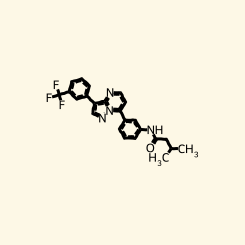 CC(C)CC(=O)Nc1cccc(-c2ccnc3c(-c4cccc(C(F)(F)F)c4)cnn23)c1